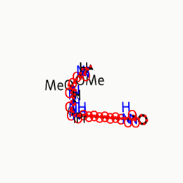 COc1cc2c(cc1OCCCOc1cc3c(cc1OC)C(=O)N1C=C(C4CC4)C[C@H]1C=N3)N=C[C@@H]1CC(c3ccc(NC(=O)[C@H](C)NC(=O)C(NC(=O)CCOCCOCCOCCOCCOCCOCCOCCOCCNC(=O)CCN4C(=O)CC(C5CCCCCCCCCCC5)C4=O)C(C)C)cc3)=CN1C2=O